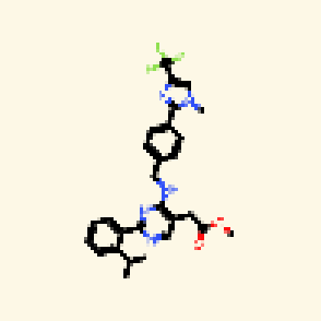 COC(=O)Cc1cnc(-c2ccccc2C(C)C)nc1NCc1ccc(-c2nc(C(F)(F)F)cn2C)cc1